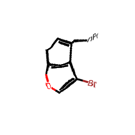 CCCC1=CCc2occ(Br)c21